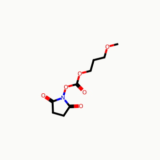 COCCCOC(=O)ON1C(=O)CCC1=O